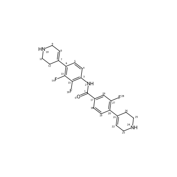 O=C(Nc1ccc(C2=CCNCC2)c(F)c1F)c1ccc(C2=CCNCC2)c(F)c1